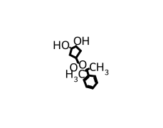 CC(C)(OC(=O)C1C[C@@H](O)[C@@H](O)C1)c1ccccc1